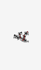 CC(C)(C)OC(=O)NCc1ncn(C[C@@H]2[C@H](NC(=O)C(=NOC(C)(C)C(=O)OC(C)(C)C)c3csc(NC(=O)OC(C)(C)C)n3)C(=O)N2S(=O)(=O)O)n1